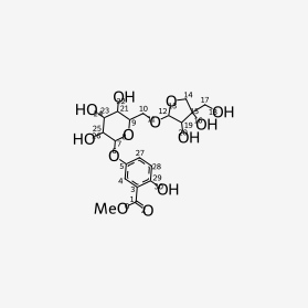 COC(=O)c1cc(OC2OC(COC3OCC(O)(CO)C3O)C(O)C(O)C2O)ccc1O